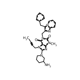 CC#CCn1c(N2CCCC(N)C2)nc2c1c(=O)n(Cc1nc3ccccn3c1Cc1ccccc1)c(=O)n2C